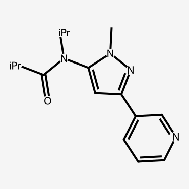 CC(C)C(=O)N(c1cc(-c2cccnc2)nn1C)C(C)C